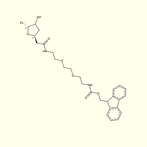 CC[C@H]1O[C@H](CC(=O)NCCOCCOCCNC(=O)OCC2c3ccccc3-c3ccccc32)CC1O